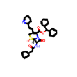 O=C(Cc1ccccc1)NC1C(=O)N2C(C(=O)OC(c3ccccc3)c3ccccc3)=C(/C=C/c3ccccn3)C[S+]([O-])[C@H]12